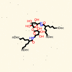 CCCCCCCCCCCCCCC(CCCCCCCCCCCCCC)C(=O)NCC1O[C@H](O[C@H]2OC(CNC(=O)C(CCCCCCCCCCCCCC)CCCCCCCCCCCCCC)[C@@H](O)[C@H](O)C2O)C(O)[C@@H](O)[C@@H]1O